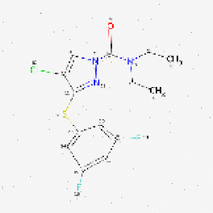 CCN(CC)C(=O)n1cc(Cl)c(Sc2cc(F)cc(F)c2)n1